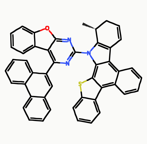 C[C@@H]1CC=Cc2c1n(-c1nc(-c3cc4ccccc4c4ccccc34)c3c(n1)oc1ccccc13)c1c3sc4ccccc4c3c3ccccc3c21